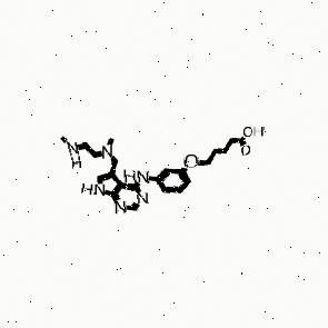 CNCCN(C)Cc1c[nH]c2ncnc(Nc3cccc(OCCCCC(=O)O)c3)c12